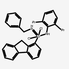 CC(C)c1cccc(C(C)C)c1[NH][Zr]([Cl])([Cl])(=[SiH]Cc1ccccc1)[c]1cccc2c1Cc1ccccc1-2